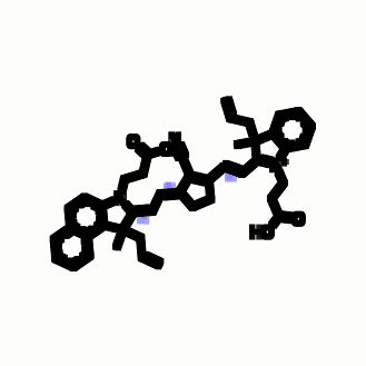 C=CCC1(C)C(/C=C/C2=C(C#N)C(=C/C=C3\N(CCC(=O)O)c4ccc5ccccc5c4C3(C)CC=C)/CC2)=[N+](CCC(=O)O)c2ccccc21